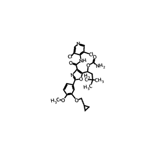 COc1ccc(-c2nc(C(=O)Nc3c(Cl)cncc3Cl)c(C(CC(C)(C)C)OC(N)=O)o2)cc1OCC1CC1